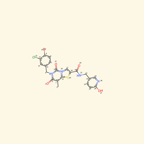 Cc1c(=O)n(Cc2ccc(Br)c(Cl)c2)c(=O)n2cc(C(=O)NCc3ccc(O)nc3)sc12